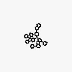 c1ccc(-c2cccc3c2sc2c(N(c4ccc(-c5ccc6ccccc6c5)cc4)c4ccc5c(c4)C(c4ccccc4)(c4ccccc4)c4ccccc4-5)ccc(-c4ccccc4)c23)cc1